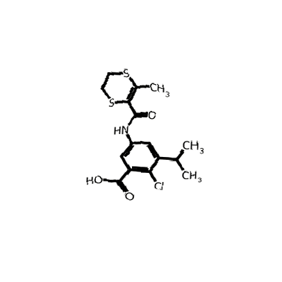 CC1=C(C(=O)Nc2cc(C(=O)O)c(Cl)c(C(C)C)c2)SCCS1